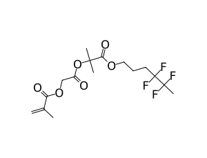 C=C(C)C(=O)OCC(=O)OC(C)(C)C(=O)OCCCC(F)(F)C(C)(F)F